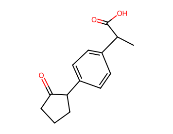 CC(C(=O)O)c1ccc(C2CCCC2=O)cc1